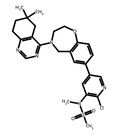 CN(c1cc(-c2ccc3c(c2)CN(c2ncnc4c2CC(C)(C)CC4)CCO3)cnc1Cl)S(C)(=O)=O